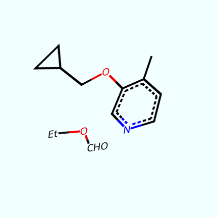 CCOC=O.Cc1ccncc1OCC1CC1